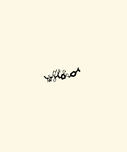 CCc1nnc(NC(=O)/C(C#N)=C/c2ccc(OCc3ccc(C(C)C)cc3)c(OC)c2)s1